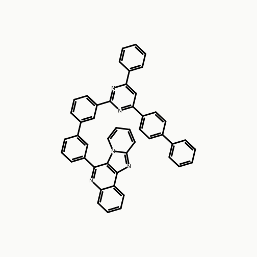 c1ccc(-c2ccc(-c3cc(-c4ccccc4)nc(-c4cccc(-c5cccc(-c6nc7ccccc7c7nc8ccccn8c67)c5)c4)n3)cc2)cc1